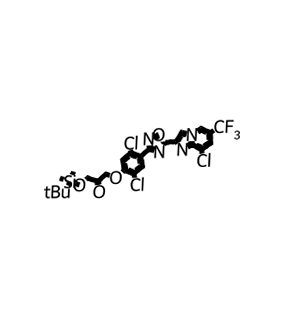 CC(C)(C)[Si](C)(C)OCC(=O)COc1cc(Cl)c(-c2noc(-c3cn4cc(C(F)(F)F)cc(Cl)c4n3)n2)cc1Cl